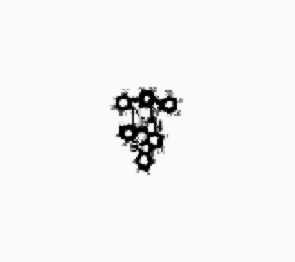 C[Si]1(C)c2ccccc2-c2ccc3nc(-n4c5ccccc5c5ccc6c7ccccc7[nH]c6c54)nc(-c4ccccc4)c3c21